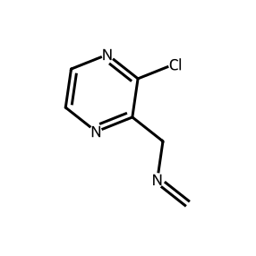 C=NCc1nccnc1Cl